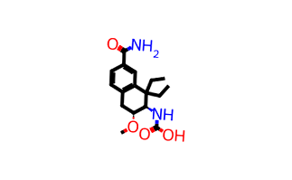 CCC1(CC)c2cc(C(N)=O)ccc2C[C@@H](OC)[C@@H]1NC(=O)O